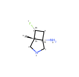 N[C@]12C[N]C[C@@H]1[C@H](F)C2